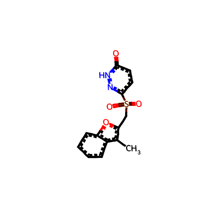 Cc1c(CS(=O)(=O)c2ccc(=O)[nH]n2)oc2ccccc12